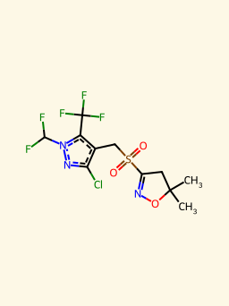 CC1(C)CC(S(=O)(=O)Cc2c(Cl)nn(C(F)F)c2C(F)(F)F)=NO1